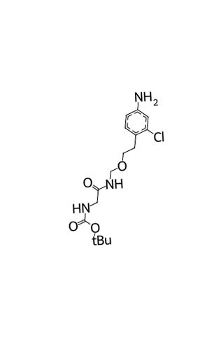 CC(C)(C)OC(=O)NCC(=O)NCOCCc1ccc(N)cc1Cl